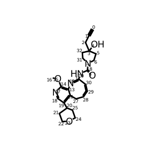 C#CCC1(O)CCN(C(=O)N/C2=N/c3c(OC)ncc(C4CCOCC4)c3CC=C=C2)CC1